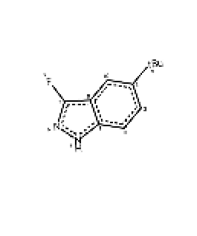 CC(C)(C)c1ccc2[nH]nc(F)c2c1